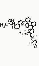 COc1nc(-c2cccc(-c3cccc(-c4ccc5c(n4)CCC[C@@H]5NC[C@H](C)O)c3Cl)c2Cl)ccc1CNC[C@@H]1CCC(=O)N1